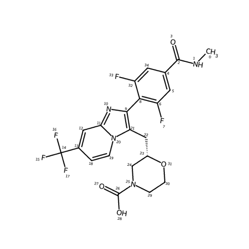 CNC(=O)c1cc(F)c(-c2nc3cc(C(F)(F)F)ccn3c2C[C@H]2CN(C(=O)O)CCO2)c(F)c1